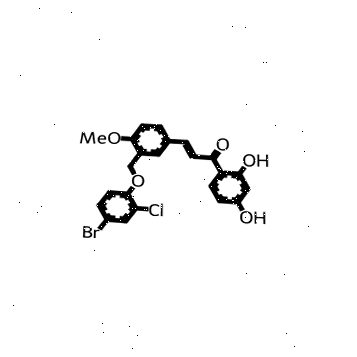 COc1ccc(/C=C/C(=O)c2ccc(O)cc2O)cc1COc1ccc(Br)cc1Cl